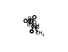 CCCC(=O)N1NC(=C2C(=O)N(C3CCCCC3)C(=O)N(C3CCCCC3)C2=O)CC1c1ccccc1